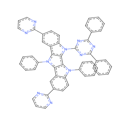 c1ccc(-c2nc(-c3ccccc3)nc(-n3c4ccc(-c5ncccn5)cc4c4c3c3c(c5cc(-c6ncccn6)ccc5n3-c3ccccc3)n4-c3ccccc3)n2)cc1